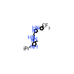 Cc1nc(N/C=C/c2ccc(Nc3cccc(C(F)(F)F)c3)cn2)nc2cc(NCC(C)C)ccc12